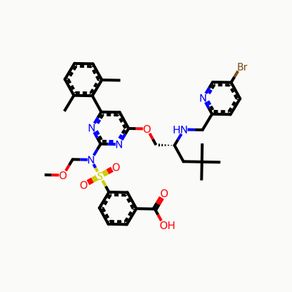 COCN(c1nc(OC[C@@H](CC(C)(C)C)NCc2ccc(Br)cn2)cc(-c2c(C)cccc2C)n1)S(=O)(=O)c1cccc(C(=O)O)c1